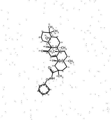 CC1(C(=O)NOc2ccccc2)CC[C@]2(C)CC[C@]3(C)C(=CC(=O)[C@@H]4[C@@]5(C)CCCC(C)(C)C5CC[C@]43C)[C@H]2C1